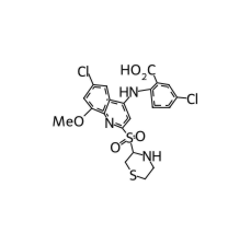 COc1cc(Cl)cc2c(Nc3ccc(Cl)cc3C(=O)O)cc(S(=O)(=O)C3CSCCN3)nc12